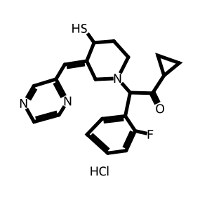 Cl.O=C(C1CC1)C(c1ccccc1F)N1CCC(S)/C(=C/c2cnccn2)C1